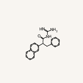 N=C(N)NC(=O)C(Cc1ccccc1)c1ccc2ccccc2c1